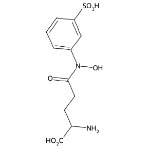 NC(CCC(=O)N(O)c1cccc(S(=O)(=O)O)c1)C(=O)O